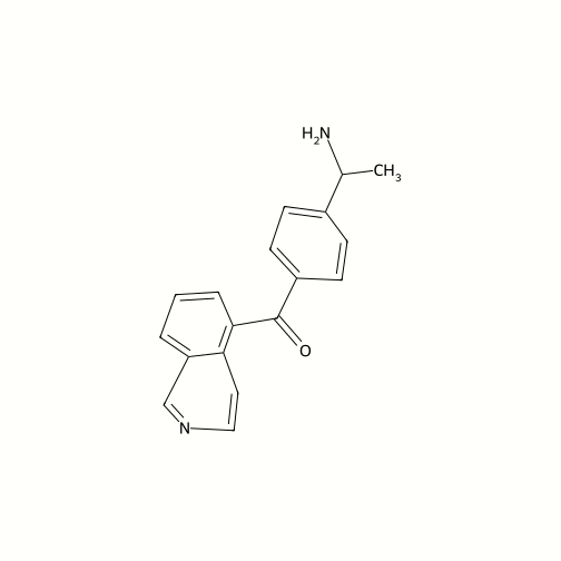 CC(N)c1ccc(C(=O)c2cccc3cnccc23)cc1